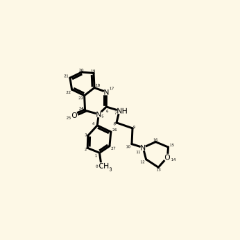 Cc1ccc(-n2c(NCCCN3CCOCC3)nc3ccccc3c2=O)cc1